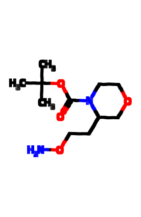 CC(C)(C)OC(=O)N1CCOCC1CCON